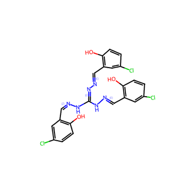 Oc1ccc(Cl)cc1/C=N\N/C(=N/N=C/c1cc(Cl)ccc1O)N/N=C/c1cc(Cl)ccc1O